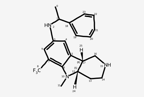 CC(Nc1cc2c(c(C(F)(F)F)c1)N(C)[C@H]1CCNC[C@@H]21)c1ccccc1